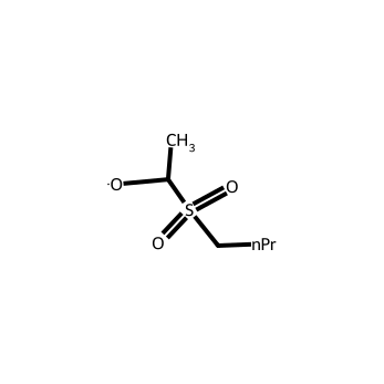 CCCCS(=O)(=O)C(C)[O]